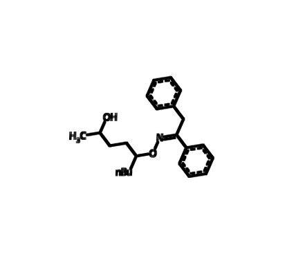 CCCCC(CCC(C)O)ON=C(Cc1ccccc1)c1ccccc1